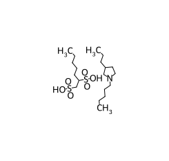 CCCCCC(CS(=O)(=O)O)S(=O)(=O)O.CCCCCN1CCC(CCC)C1